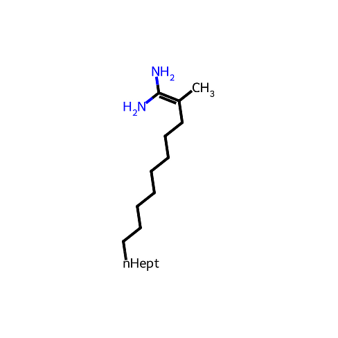 CCCCCCCCCCCCCCCC(C)=C(N)N